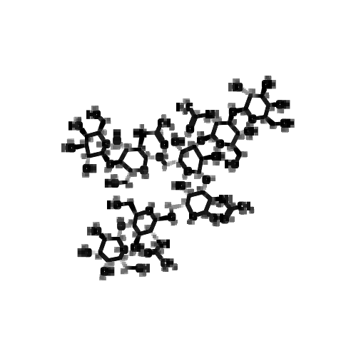 CC(=O)N[C@H]1[C@H](OC[C@H]2O[C@@H](O[C@H]3[C@@H](O)[C@@H](CO[C@@H]4O[C@H](CO)[C@@H](O[C@@H]5O[C@H](CO)[C@H](O)[C@H](O)[C@H]5O)[C@H](O)[C@H]4NC(C)=O)OC(O)[C@@H]3NC(C)=O)[C@H](O)[C@@H](O[C@@H]3O[C@H](CO)[C@@H](O)[C@H](O[C@@H]4O[C@H](CO)[C@H](O)[C@H](O)[C@H]4O)[C@H]3NC(C)=O)[C@H]2O)O[C@H](CO)[C@@H](O[C@@H]2O[C@H](CO)[C@H](O)[C@H](O)[C@H]2O)[C@@H]1O